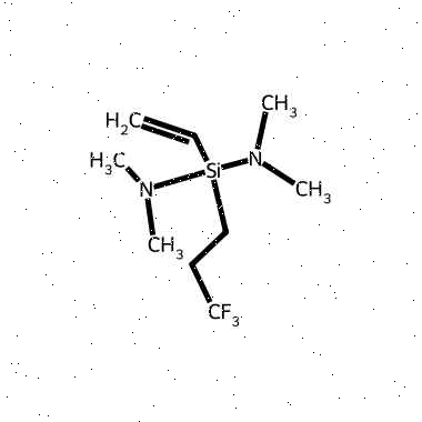 C=C[Si](CCC(F)(F)F)(N(C)C)N(C)C